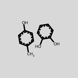 Cc1ccc(O)cc1.Oc1ccccc1O